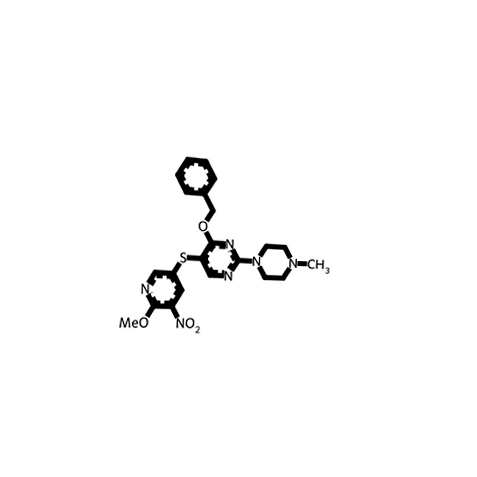 COc1ncc(Sc2cnc(N3CCN(C)CC3)nc2OCc2ccccc2)cc1[N+](=O)[O-]